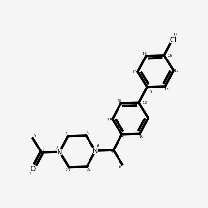 CC(=O)N1CCN(C(C)c2ccc(-c3ccc(Cl)cc3)cc2)CC1